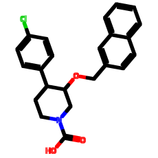 O=C(O)N1CCC(c2ccc(Cl)cc2)C(OCc2ccc3ccccc3c2)C1